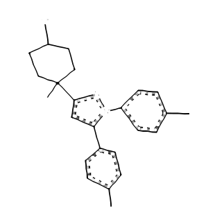 Cc1ccc(-c2cc(C3(O)CCC(O)CC3)nn2-c2ccc(F)cc2)cc1